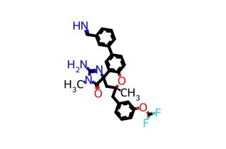 CN1C(=O)C2(C[C@@](C)(Cc3cccc(OC(F)F)c3)Oc3ccc(-c4cccc(C=N)c4)cc32)N=C1N